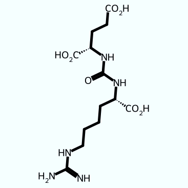 N=C(N)NCCCC[C@H](NC(=O)N[C@@H](CCC(=O)O)C(=O)O)C(=O)O